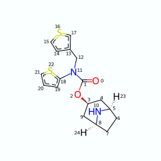 O=C(O[C@H]1C[C@H]2CC[C@@H](C1)N2)N(Cc1ccsc1)c1cccs1